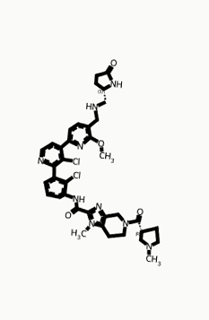 COc1nc(-c2ccnc(-c3cccc(NC(=O)c4nc5c(n4C)CCN(C(=O)[C@@H]4CCN(C)C4)C5)c3Cl)c2Cl)ccc1CNC[C@@H]1CCC(=O)N1